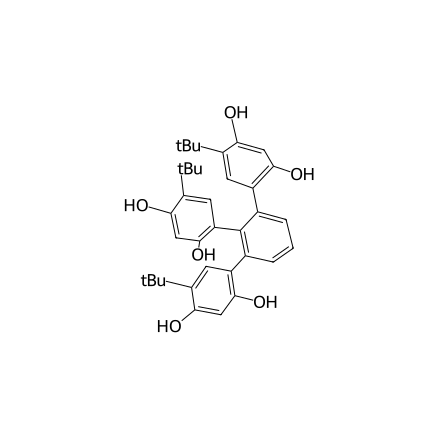 CC(C)(C)c1cc(-c2cccc(-c3cc(C(C)(C)C)c(O)cc3O)c2-c2cc(C(C)(C)C)c(O)cc2O)c(O)cc1O